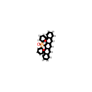 O=P(c1ccccc1)(c1ccccc1)c1c2cc3ccccc3cc2cc2cc3ccccc3cc12